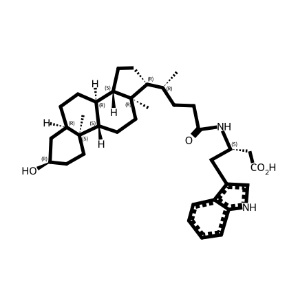 C[C@H](CCC(=O)N[C@H](CC(=O)O)Cc1c[nH]c2ccccc12)[C@H]1CC[C@H]2[C@@H]3CC[C@@H]4C[C@H](O)CC[C@]4(C)[C@H]3CC[C@]12C